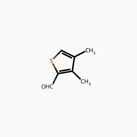 Cc1csc(C=O)c1C